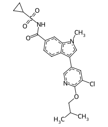 CC(C)COc1ncc(-c2cn(C)c3cc(C(=O)NS(=O)(=O)C4CC4)ccc23)cc1Cl